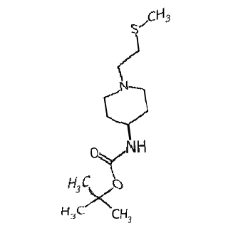 CSCCN1CCC(NC(=O)OC(C)(C)C)CC1